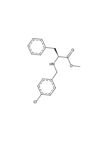 COC(=O)[C@H](Cc1ccccc1)NCc1ccc(Cl)cc1